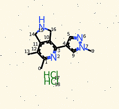 Cc1nc(-c2cnn(C)c2)c2c(c1C)CNC2.Cl.Cl